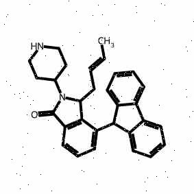 CC=CCC1c2c(cccc2C2c3ccccc3-c3ccccc32)C(=O)N1C1CCNCC1